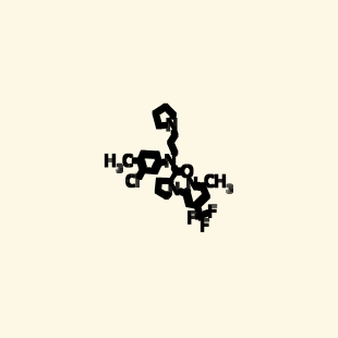 Cc1cc(C(F)(F)F)cc(N2CCC[C@H]2C(=O)N(CCCN2CCCC2)c2ccc(C)c(Cl)c2)n1